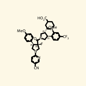 COC[C@H]1CN(C(=O)[C@]2(F)CN(c3ccc(C#N)cn3)C[C@H]2c2ccc(OC)cc2)C[C@@H]1c1ccc(C(F)(F)F)cc1N1CCC(C(=O)O)CC1